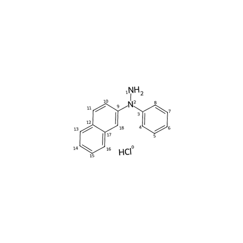 Cl.NN(c1ccccc1)c1ccc2ccccc2c1